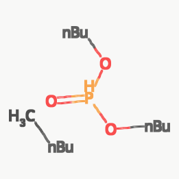 CCCCC.CCCCO[PH](=O)OCCCC